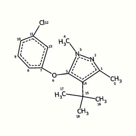 Cc1nn(C)c(Oc2cccc(Cl)c2)c1C(C)(C)C